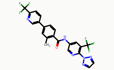 Cc1cc(-c2ccc(C(F)(F)F)nc2)ccc1C(=O)Nc1cnc(-n2nccn2)c(C(F)(F)F)c1